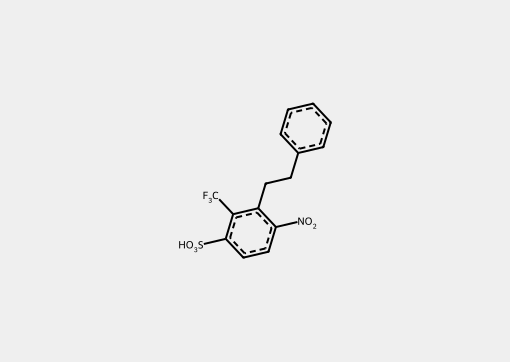 O=[N+]([O-])c1ccc(S(=O)(=O)O)c(C(F)(F)F)c1CCc1ccccc1